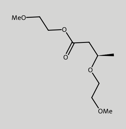 COCCOC(=O)C[C@@H](C)OCCOC